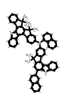 CC1(C)c2cc(N(c3ccc4c(c3)C(C)(C)c3c5c(c6oc7ccccc7c6c3-4)-c3ccccc3C5(C)C)c3cccc4ccccc34)ccc2-c2c1cc(-c1ccc3ccccc3c1)c1oc3ccccc3c21